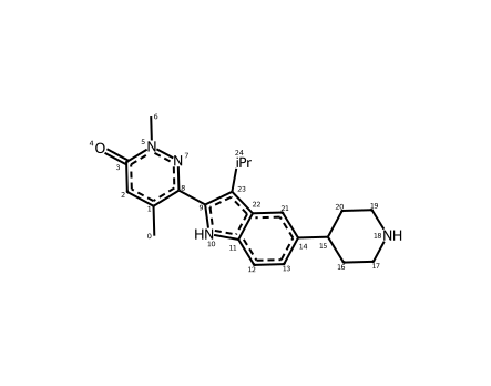 Cc1cc(=O)n(C)nc1-c1[nH]c2ccc(C3CCNCC3)cc2c1C(C)C